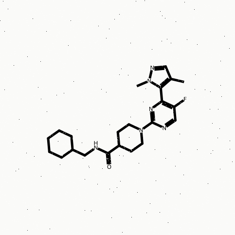 Cc1cnn(C)c1-c1nc(N2CCC(C(=O)NCC3CCCCC3)CC2)ncc1F